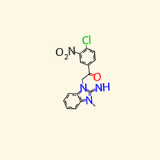 Cn1c(=N)n(CC(=O)c2ccc(Cl)c([N+](=O)[O-])c2)c2ccccc21